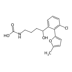 Cc1ccc(-c2c(Cl)cccc2C(O)CCCNC(=O)O)o1